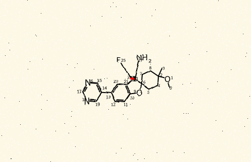 COC1(C)CCC2(CC1)Oc1ccc(-c3cncnc3)cc1C21C=C(F)C(N)=N1